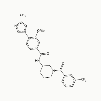 COc1cc(C(=O)NC2CCCN(C(=O)c3cccc(C(F)(F)F)c3)C2)ccc1-n1cnc(C)c1